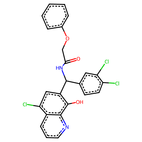 O=C(COc1ccccc1)NC(c1ccc(Cl)c(Cl)c1)c1cc(Cl)c2cccnc2c1O